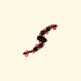 C=CC(=O)OCCCCOc1ccc(C(=O)Oc2ccc(OC(=O)c3cccc4c3C3(CC4)CCc4cccc(C(=O)Oc5ccc(OC(=O)c6ccc(OCOC(=O)C=C)cc6)cc5)c43)cc2)cc1